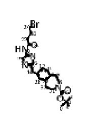 CC(C)(C)OC(=O)N1CCc2ccc(Cc3cnc(NC(=O)CCCBr)cn3)cc2CC1